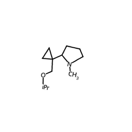 CC(C)OCC1(C2CCCN2C)CC1